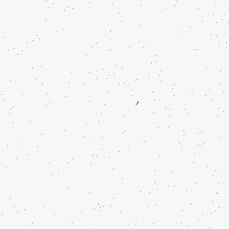 O=C1C[C@H](c2ccccn2)S[C@@H](c2ccccn2)C1